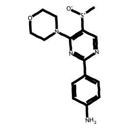 C[S+]([O-])c1cnc(-c2ccc(N)cc2)nc1N1CCOCC1